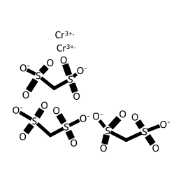 O=S(=O)([O-])CS(=O)(=O)[O-].O=S(=O)([O-])CS(=O)(=O)[O-].O=S(=O)([O-])CS(=O)(=O)[O-].[Cr+3].[Cr+3]